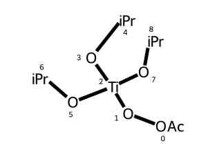 CC(=O)O[O][Ti]([O]C(C)C)([O]C(C)C)[O]C(C)C